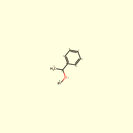 CC(C)OC(C)c1cc[c]cc1